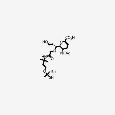 CCCCC(C)(S)OCCC(C)(C)NC(=O)CO[C@H](CCO)[C@@H]1OC(C(=O)O)=CC[C@H]1NC(C)=O